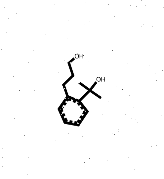 CC(C)(O)c1ccccc1CCCO